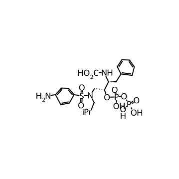 CC(C)CN(C[C@@H](OP(=O)(O)OP(=O)(O)O)[C@H](Cc1ccccc1)NC(=O)O)S(=O)(=O)c1ccc(N)cc1